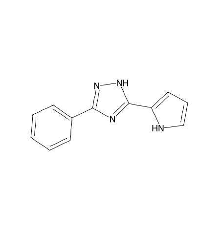 c1ccc(-c2n[nH]c(-c3ccc[nH]3)n2)cc1